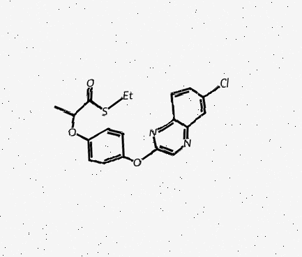 CCSC(=O)C(C)Oc1ccc(Oc2cnc3cc(Cl)ccc3n2)cc1